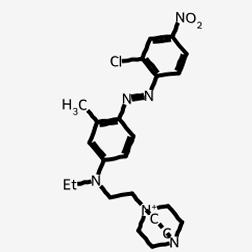 CCN(CC[N+]12CCN(CC1)CC2)c1ccc(N=Nc2ccc([N+](=O)[O-])cc2Cl)c(C)c1